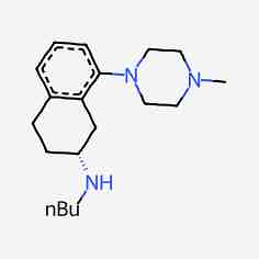 CCCCN[C@@H]1CCc2cccc(N3CCN(C)CC3)c2C1